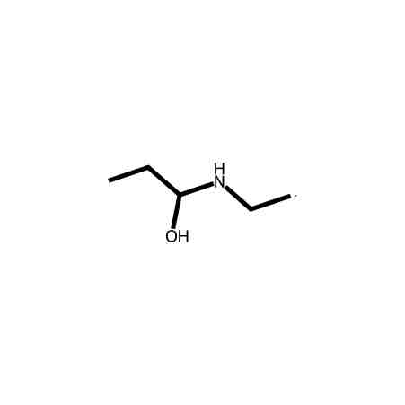 [CH2]CNC(O)CC